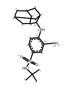 CC(C)(C)NS(=O)(=O)c1ccc(NC2C3CC4CC(C3)CC2C4)c(N)c1